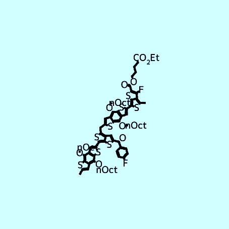 CCCCCCCCOc1c2cc(-c3sc(Cc4cc5c(OCCCCCCCC)c6sc(-c7sc(C)c8c(F)c(C(=O)OCCCCC(=O)OCC)sc78)cc6c(OCCCCCCCC)c5s4)c4cc(C(=O)c5ccc(F)cc5)sc34)sc2c(OCCCCCCCC)c2cc(C)sc12